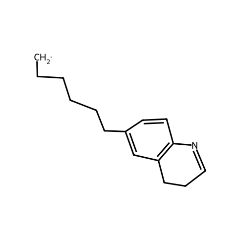 [CH2]CCCCCc1ccc2c(c1)CCC=N2